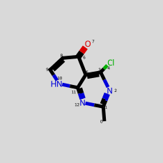 Cc1nc(Cl)c2c(=O)cc[nH]c2n1